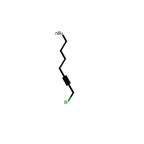 CCCCCCCCC#CCBr